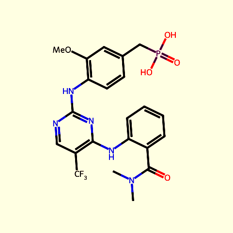 COc1cc(CP(=O)(O)O)ccc1Nc1ncc(C(F)(F)F)c(Nc2ccccc2C(=O)N(C)C)n1